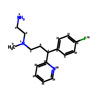 CN(CCN)CCC(c1ccc(F)cc1)c1ccccn1